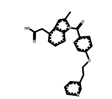 Cc1cc2c(CC(=O)O)cccc2n1C(=O)c1ccc(OCCc2cccnc2)cc1